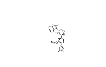 COc1nc(C2=NOCC(c3c(C)sc4ccccc34)N2)ccc1-n1cnc(C)c1